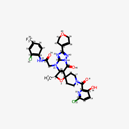 C[C@H]1OC2(CCN(C(=O)c3nc(Cl)ccc3O)CC2)c2c1n(CC(=O)Nc1ccc(C(F)(F)F)cc1Cl)c1nc(C3=CCOCC3)nn1c2=O